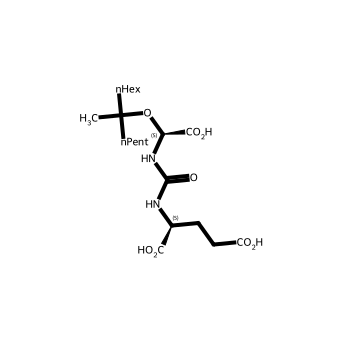 CCCCCCC(C)(CCCCC)O[C@H](NC(=O)N[C@@H](CCC(=O)O)C(=O)O)C(=O)O